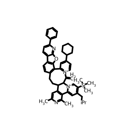 C=C1C2C(CCc3ccc4c(oc5nc(-c6ccccc6)ccc54)c3-c3cc(C4CCCCC4)cc[n+]31)c1cc(C)nc(C)c1-c1cc(CC(C)C)c([Si](C)(C)C)c[n+]12